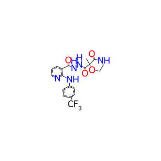 CC1(C(=O)NNC(=O)c2cccnc2Nc2ccc(C(F)(F)F)cc2)OCCNC1=O